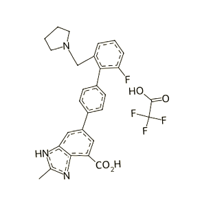 Cc1nc2c(C(=O)O)cc(-c3ccc(-c4c(F)cccc4CN4CCCC4)cc3)cc2[nH]1.O=C(O)C(F)(F)F